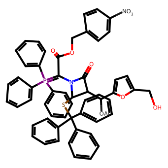 CC(=O)OC(c1ccc(CO)o1)C1C(=O)N(C(C(=O)OCc2ccc([N+](=O)[O-])cc2)=P(c2ccccc2)(c2ccccc2)c2ccccc2)C1SC(c1ccccc1)(c1ccccc1)c1ccccc1